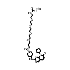 CC(C)(C)OC(=O)NCCOCCOCCOCCNCCC[S+]([O-])N1CCC(Nc2ncc3ccc(=O)n(C4CCCC4)c3n2)CC1